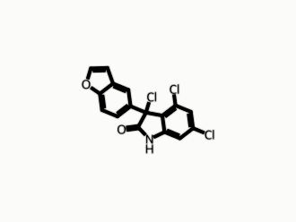 O=C1Nc2cc(Cl)cc(Cl)c2C1(Cl)c1ccc2occc2c1